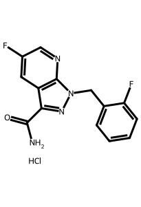 Cl.NC(=O)c1nn(Cc2ccccc2F)c2ncc(F)cc12